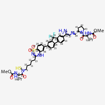 COC(=O)N[C@H](C(=O)N(S)CCCCCC1=NS(=O)(=O)c2ccc(-c3ccc4c(c3)C(F)(F)c3cc(/C(N)=C/N=C/[C@@H]5CCCN5C(=O)[C@@H](NC(=O)OC)C(C)C)ccc3-4)cc2N1)C(C)C